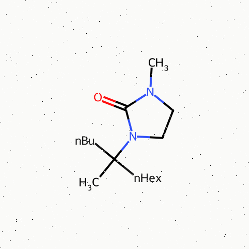 CCCCCCC(C)(CCCC)N1CCN(C)C1=O